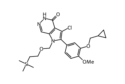 COc1ccc(-c2c(Cl)c3c(=O)[nH]ncc3n2COCC[Si](C)(C)C)cc1OCC1CC1